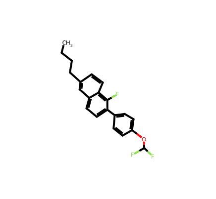 CCCCc1ccc2c(F)c(-c3ccc(OC(F)F)cc3)ccc2c1